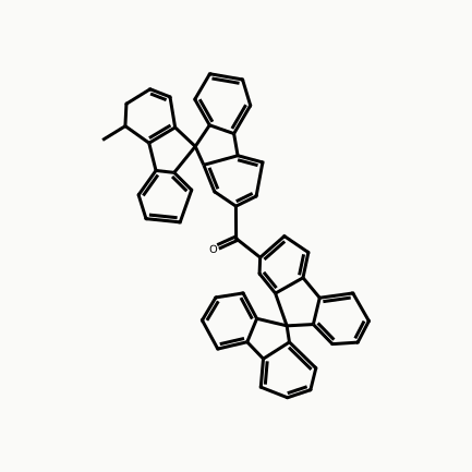 CC1CC=CC2=C1c1ccccc1C21c2ccccc2-c2ccc(C(=O)c3ccc4c(c3)C3(c5ccccc5-c5ccccc53)c3ccccc3-4)cc21